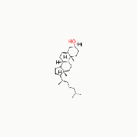 [2H][C@]1(O)CC[C@@]2(C)C(=CC[C@H]3[C@@H]4CC[C@H]([C@H](C)CCCC(C)C)[C@@]4(C)CC[C@@H]32)C1